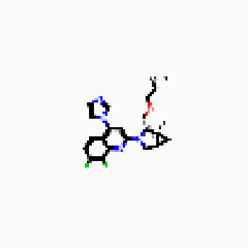 O=C(O)CCOC[C@@H]1[C@H]2CC2CN1c1cc(-n2ccnc2)c2ccc(Cl)c(Cl)c2n1